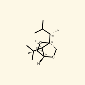 CC(C)[C@@H]1[C@@H]2OC[C@@]1([C@@H](C)C(C)C)O[C@H]2C